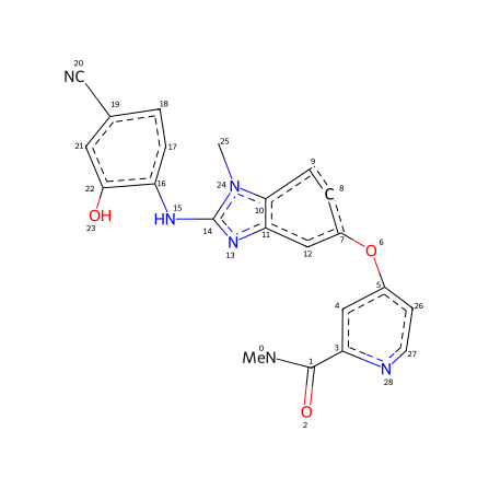 CNC(=O)c1cc(Oc2ccc3c(c2)nc(Nc2ccc(C#N)cc2O)n3C)ccn1